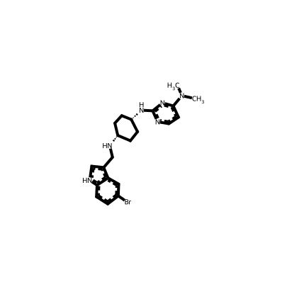 CN(C)c1ccnc(N[C@H]2CC[C@@H](NCc3c[nH]c4ccc(Br)cc34)CC2)n1